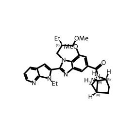 CC[C@@H](COC)Cn1c(-c2cc3cccnc3n2CC)nc2cc(C(=O)N3C[C@H]4CC[C@@H]3[C@@H]4N)cc(OC)c21